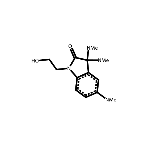 CNc1ccc2c(c1)C(NC)(NC)C(=O)N2CCO